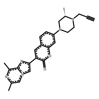 C#CCN1CCN(c2ccc3cc(-c4cn5cc(C)nc(C)c5n4)c(=O)oc3c2)C[C@@H]1C